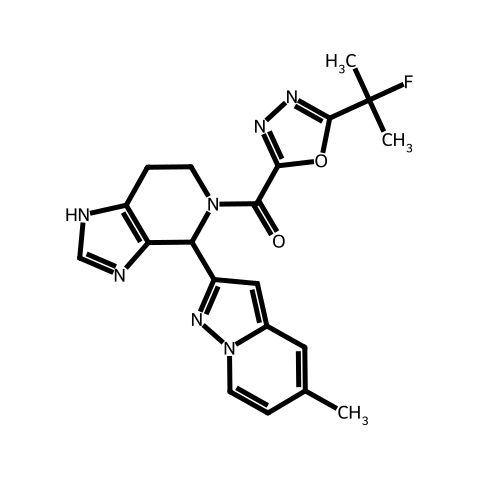 Cc1ccn2nc(C3c4nc[nH]c4CCN3C(=O)c3nnc(C(C)(C)F)o3)cc2c1